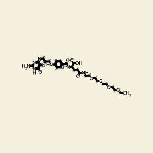 CCOCCOCCOCCOCCNC(=O)CCC(NC(=O)c1ccc(NCc2cnc3nc(N)[nH]c(=O)c3n2)cc1)C(=O)O